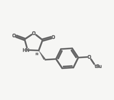 CC(C)(C)Oc1ccc(C[C@@H]2NC(=O)OC2=O)cc1